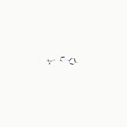 CC1(C)C(COc2ccn(-c3ccc(C(=O)O)c(Cl)c3)n2)C1(C)C